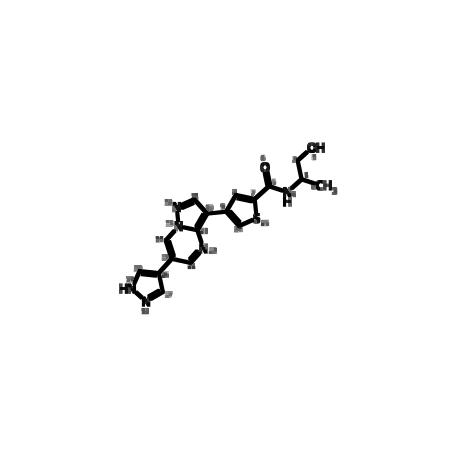 CC(CO)NC(=O)c1cc(-c2cnn3cc(-c4cn[nH]c4)cnc23)cs1